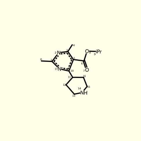 Cc1nc(C)c(C(=O)OC(C)C)c(C2CCNCC2)n1